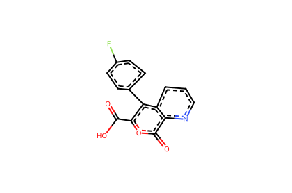 O=C(O)c1oc(=O)c2ncccc2c1-c1ccc(F)cc1